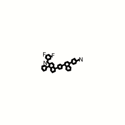 N#Cc1ccc(-c2ccc(-c3ccc(-c4cccc5c4ccc4c(-c6cc(F)cc(F)c6)nc6ccccc6c45)cc3)c3ccccc23)cc1